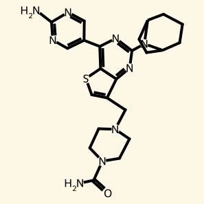 NC(=O)N1CCN(Cc2csc3c(-c4cnc(N)nc4)nc(N4C5CCCC4CC5)nc23)CC1